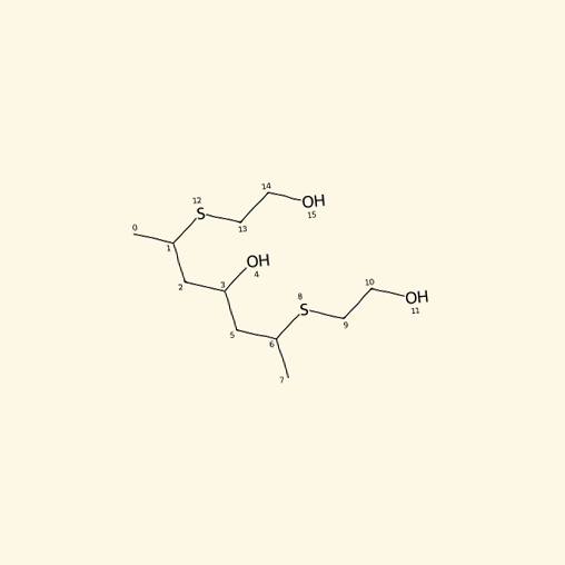 CC(CC(O)CC(C)SCCO)SCCO